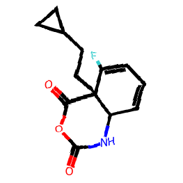 O=C1NC2C=CC=C(F)C2(CCC2CC2)C(=O)O1